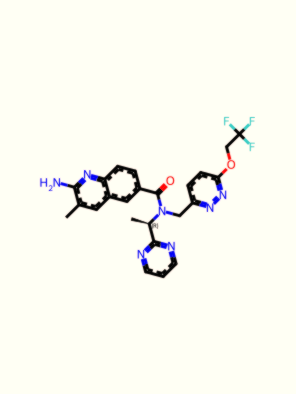 Cc1cc2cc(C(=O)N(Cc3ccc(OCC(F)(F)F)nn3)[C@H](C)c3ncccn3)ccc2nc1N